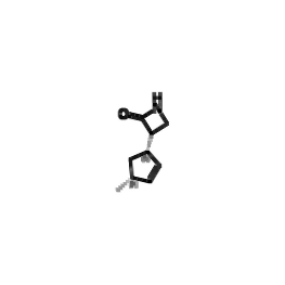 C[C@H]1C=C[C@@H](C2CNC2=O)C1